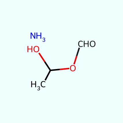 CC(O)OC=O.N